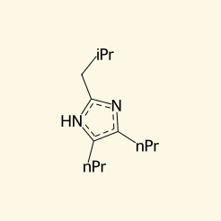 CCCc1nc(CC(C)C)[nH]c1CCC